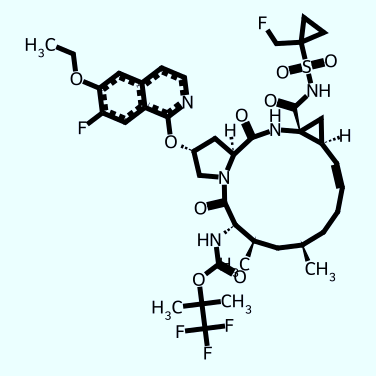 CCOc1cc2ccnc(O[C@@H]3C[C@H]4C(=O)N[C@]5(C(=O)NS(=O)(=O)C6(CF)CC6)C[C@H]5/C=C\CC[C@@H](C)C[C@@H](C)[C@H](NC(=O)OC(C)(C)C(F)(F)F)C(=O)N4C3)c2cc1F